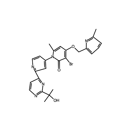 Cc1cccc(COc2cc(C)n(-c3ccnc(-c4ccnc(C(C)(C)O)n4)c3)c(=O)c2Br)n1